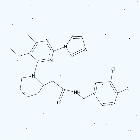 CCc1c(C)nc(-n2ccnc2)nc1N1CCCCC1CC(=O)NCc1ccc(Cl)c(Cl)c1